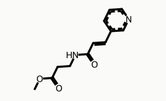 COC(=O)CCNC(=O)/C=C/c1cccnc1